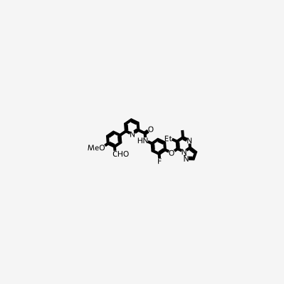 CCc1c(C)nc2ccnn2c1Oc1ccc(NC(=O)c2cccc(-c3ccc(OC)c(C=O)c3)n2)cc1F